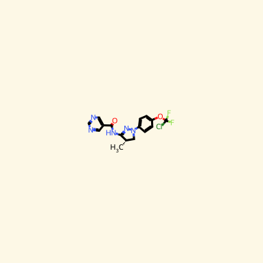 C[C@H]1CN(c2ccc(OC(F)(F)Cl)cc2)N=C1NC(=O)c1cncnc1